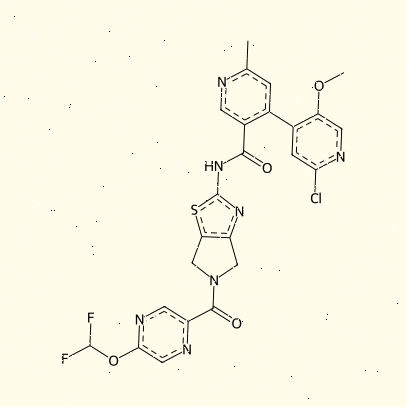 COc1cnc(Cl)cc1-c1cc(C)ncc1C(=O)Nc1nc2c(s1)CN(C(=O)c1cnc(OC(F)F)cn1)C2